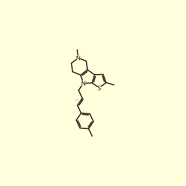 Cc1ccc(/C=C/Cn2c3c(c4cc(C)sc42)CN(C)CC3)cc1